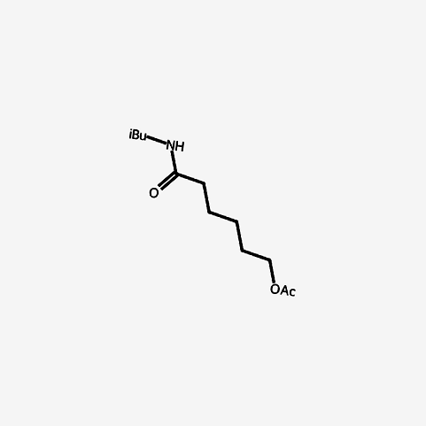 CCC(C)NC(=O)CCCCCOC(C)=O